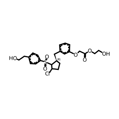 O=C(COc1cccc(C[C@H]2CCC(Cl)C2S(=O)(=O)c2ccc(CCO)cc2)c1)OCCO